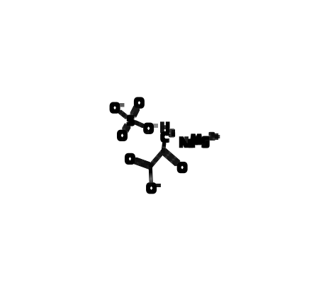 CC(=O)C(=O)[O-].O=S(=O)([O-])[O-].[Mg+2].[Na+]